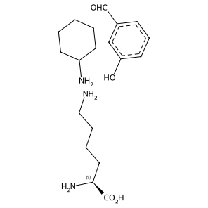 NC1CCCCC1.NCCCC[C@H](N)C(=O)O.O=Cc1cccc(O)c1